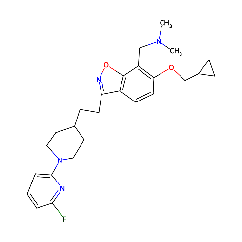 CN(C)Cc1c(OCC2CC2)ccc2c(CCC3CCN(c4cccc(F)n4)CC3)noc12